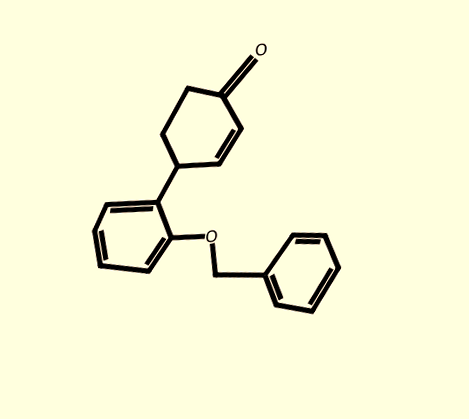 O=C1C=CC(c2ccccc2OCc2ccccc2)CC1